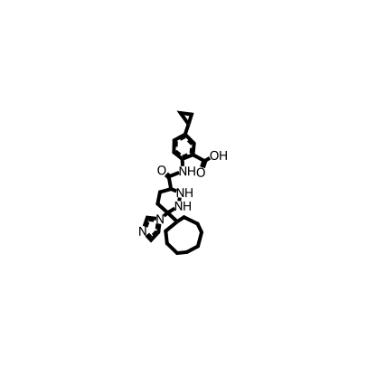 O=C(O)c1cc(C2CC2)ccc1NC(=O)C1CCC(C2CCCCCCCC2)(n2ccnc2)NN1